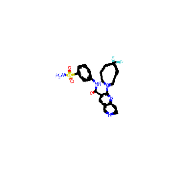 NS(=O)(=O)c1cccc(NC(=O)c2cc3cnccc3nc2N2CCCC(F)(F)CC2)c1